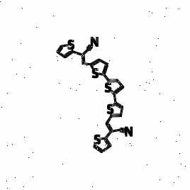 N#C/C(=C\c1ccc(-c2ccc(-c3ccc(/C=C(\C#N)c4cccs4)s3)s2)s1)c1cccs1